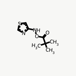 CC(C)(C)C(=O)ONc1cscn1